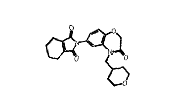 O=C1COc2ccc(N3C(=O)C4=C(CCCC4)C3=O)cc2N1CC1CCOCC1